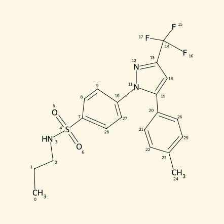 CCCNS(=O)(=O)c1ccc(-n2nc(C(F)(F)F)cc2-c2ccc(C)cc2)cc1